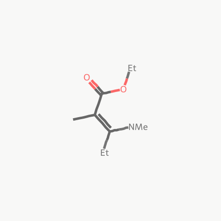 CCOC(=O)C(C)=C(CC)NC